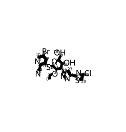 CCOC1C(Sc2cc(Br)cnc2C#N)OC(CO)C(O)C1n1cc(-c2nc(Cl)cs2)nn1